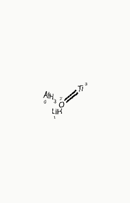 [AlH3].[LiH].[O]=[Ti]